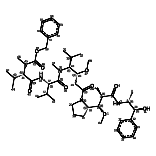 CO[C@H]([C@@H](C)C(=O)N[C@H](C)[C@@H](O)c1ccccc1)[C@@H]1CCCN1C(=O)C[C@@H](OC)[C@H](C(C)C)N(C)C(=O)[C@@H](NC(=O)[C@H](C(C)C)N(C)C(=O)OCc1ccccc1)C(C)C